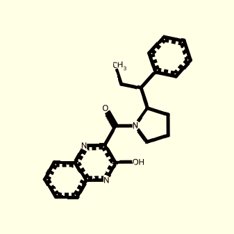 CCC(c1ccccc1)C1CCCN1C(=O)c1nc2ccccc2nc1O